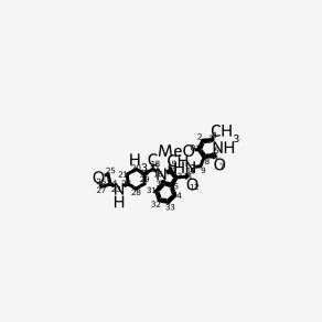 COc1cc(C)[nH]c(=O)c1CNC(=O)c1c(C)n([C@H](C)C2CCC(NC3COC3)CC2)c2ccccc12